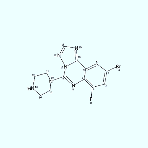 Fc1cc(Br)cc2c1nc(N1CCNCC1)n1ncnc21